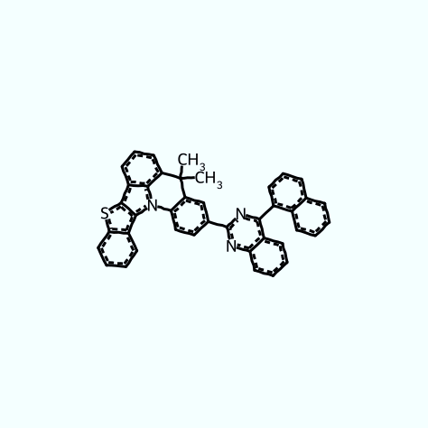 CC1(C)c2cc(-c3nc(-c4cccc5ccccc45)c4ccccc4n3)ccc2-n2c3c1cccc3c1sc3ccccc3c12